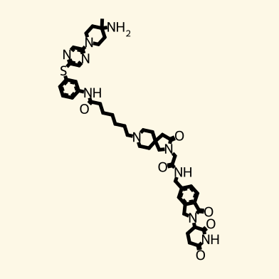 CC1(N)CCN(c2cnc(Sc3cccc(NC(=O)CCCCCCN4CCC5(CC4)CC(=O)N(CC(=O)NCc4ccc6c(c4)CN(C4CCC(=O)NC4=O)C6=O)C5)c3)cn2)CC1